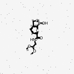 COC(CNC(=O)c1ccc2c(c1)B(O)OC2)OC